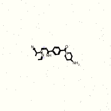 C/C=N\N(/C=C\C(=N)c1ccc(C(=O)N2CCC(N)CC2)cc1)C(C)C#N